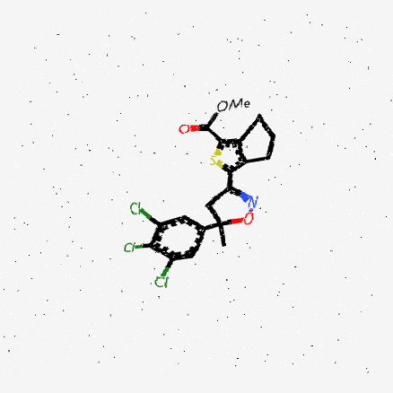 COC(=O)c1sc(C2=NOC(C)(c3cc(Cl)c(Cl)c(Cl)c3)C2)c2c1CCC2